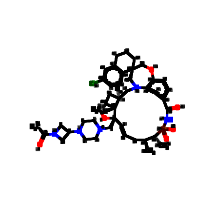 CO[C@@]1(CN2CCN(C3CN(C(C)=O)C3)CC2)/C=C/C[C@H](C)[C@@H](C)S(=O)(=O)NC(=O)c2ccc3c(c2)N(C[C@@H]2CC[C@H]21)C[C@@]1(CCCc2cc(Cl)ccc21)CO3